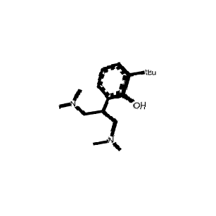 CN(C)CC(CN(C)C)c1cccc(C(C)(C)C)c1O